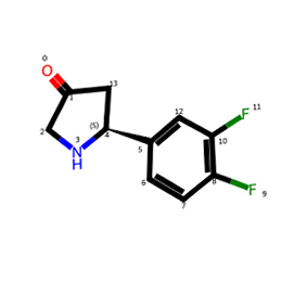 O=C1CN[C@H](c2ccc(F)c(F)c2)C1